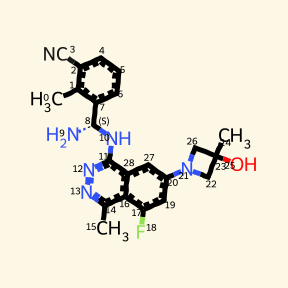 Cc1c(C#N)cccc1[C@@H](N)Nc1nnc(C)c2c(F)cc(N3CC(C)(O)C3)cc12